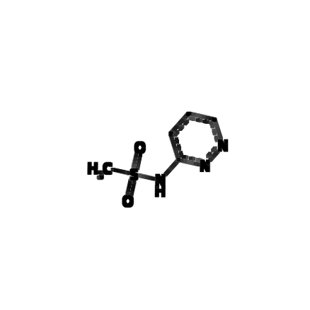 CS(=O)(=O)Nc1cccnn1